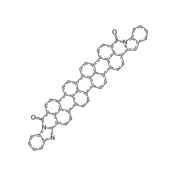 O=c1c2ccc3c4ccc5c6ccc7c8ccc9c(=O)n%10c%11ccccc%11nc%10c%10ccc(c%11ccc(c%12ccc(c%13ccc(c2c3%13)c2cc3ccccc3n12)c4c5%12)c6c7%11)c8c9%10